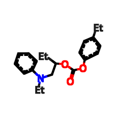 CCc1ccc(OC(=O)OC(CC)CN(CC)c2ccccc2)cc1